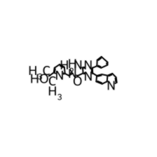 CC(C)(O)c1cccc(CNC(=O)c2nc(-c3ccc4ncccc4c3)c(-c3ccccc3)nc2N)n1